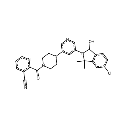 CC1(C)c2cc(Cl)ccc2C(O)N1c1cncc(N2CCN(C(=O)c3ncccc3C#N)CC2)c1